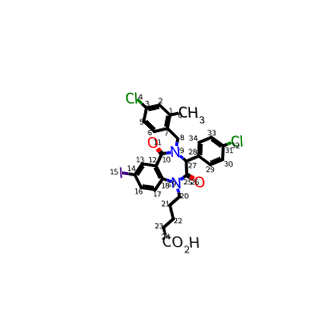 Cc1cc(Cl)ccc1CN1C(=O)c2cc(I)ccc2N(CCCCC(=O)O)C(=O)C1c1ccc(Cl)cc1